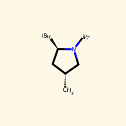 CCC(C)[C@@H]1C[C@@H](C)CN1C(C)C